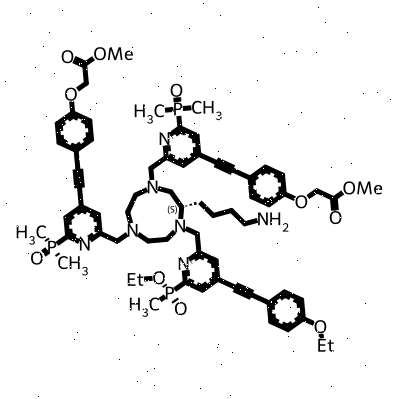 CCOc1ccc(C#Cc2cc(CN3CCN(Cc4cc(C#Cc5ccc(OCC(=O)OC)cc5)cc(P(C)(C)=O)n4)CCN(Cc4cc(C#Cc5ccc(OCC(=O)OC)cc5)cc(P(C)(C)=O)n4)C[C@@H]3CCCCN)nc(P(C)(=O)OCC)c2)cc1